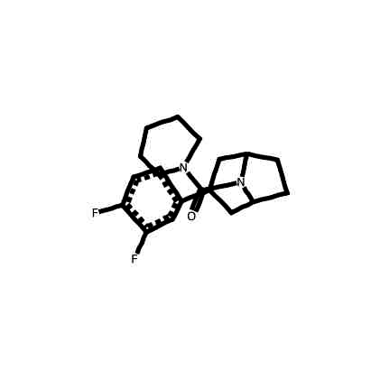 O=C(N1CCCCC1)N1C2CCC1CC(c1ccc(F)c(F)c1)C2